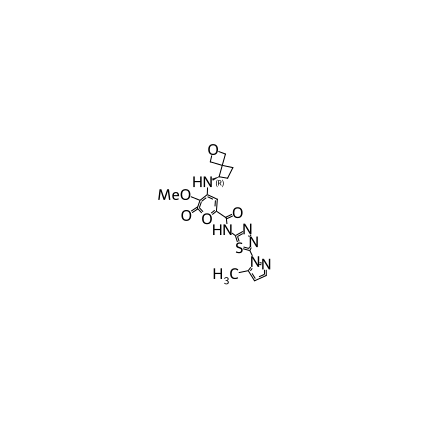 COc1c(N[C@@H]2CCC23COC3)cc(C(=O)Nc2nnc(-n3nccc3C)s2)oc1=O